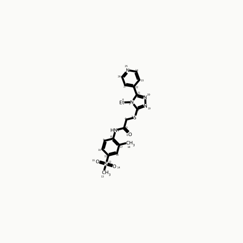 CCn1c(SCC(=O)Nc2ccc(S(C)(=O)=O)cc2C)nnc1-c1ccncc1